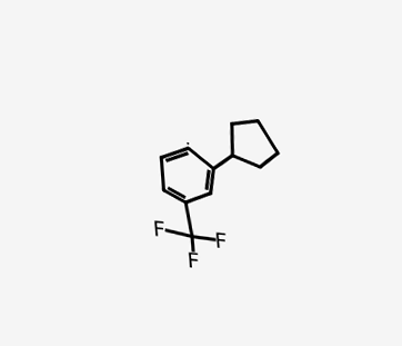 FC(F)(F)c1cc[c]c(C2CCCC2)c1